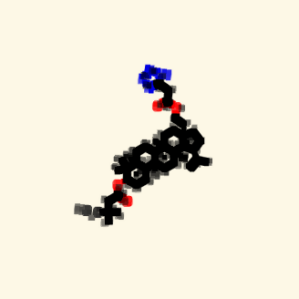 C=C(C)[C@@H]1CC[C@]2(CCOC(=O)Cc3nnn[nH]3)CC[C@]3(C)[C@H](CC[C@@H]4[C@@]5(C)CC[C@H](OC(=O)CC(C)(C)C(=O)O)C(C)(C)[C@@H]5CC[C@]43C)[C@@H]12